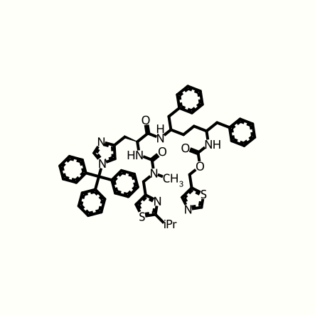 CC(C)c1nc(CN(C)C(=O)N[C@@H](Cc2cn(C(c3ccccc3)(c3ccccc3)c3ccccc3)cn2)C(=O)NC(CCC(Cc2ccccc2)NC(=O)OCc2cncs2)Cc2ccccc2)cs1